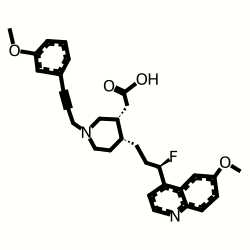 COc1cccc(C#CCN2CC[C@@H](CC[C@@H](F)c3ccnc4ccc(OC)cc34)[C@@H](CC(=O)O)C2)c1